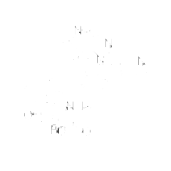 CCOC(=O)[C@H](Cc1ccc(-n2c(-c3cccnc3)nc3cnccc32)cc1)NC1=C(Br)C(=O)C12CCCCC2